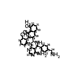 Cc1ccccc1-n1c(CNc2ncnc(N)c2C(=N)c2ccc(CN)cc2)cc2cccc(C)c2c1=O